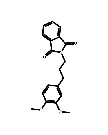 COc1ccc(CCCN2C(=O)c3ccccc3C2=O)cc1OC